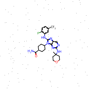 CC1(Nc2ncc3nc(Nc4cc(C(F)(F)F)ccc4F)n(C4CCC(C(N)=O)CC4)c3n2)CCOCC1